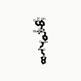 CN(CCC(=O)Nc1ccc(CNC[C@H](O[Si](C)(C)C(C)(C)C)c2ccc(O)c3[nH]c(=O)ccc23)cc1)C(=O)CCN1CC2CCCC2C1